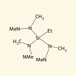 CC[Si](N(C)NC)(N(C)NC)N(C)NC